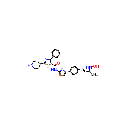 C=C(/C=C/c1ccc(-c2csc(NC(=O)C3SC(C4CCNCC4)=NC3c3ccccc3)n2)cc1)NO